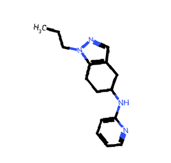 CCCn1ncc2c1CCC(Nc1ccccn1)C2